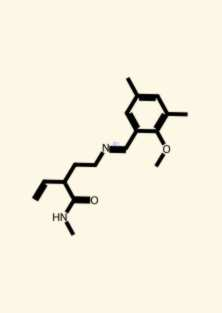 C=CC(CC/N=C/c1cc(C)cc(C)c1OC)C(=O)NC